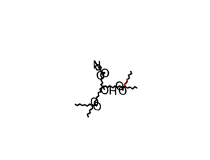 CCCCCCCC(CCCCC)C(=O)OCCCCCCC(O)(CCCCCCOC(=O)C(CCCCC)CCCCCCC)CCCCOC(=O)C1CCN(C)CC1